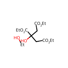 CCO.CCOC(=O)CC(O)(CC(=O)OCC)C(=O)OCC